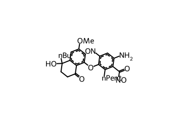 CCCCCc1c(Oc2cc(OC)cc3c2C(=O)CCC3(O)CCCC)c(N=O)cc(N)c1C(=O)N=O